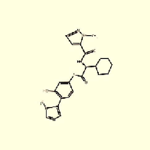 Cn1cncc1-c1ccc(NC(=O)[C@@H](NC(=O)c2ccnn2C)C2CCCCC2)cc1O